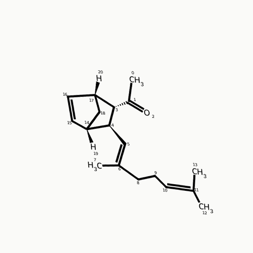 CC(=O)[C@@H]1[C@@H](/C=C(\C)CCC=C(C)C)[C@@H]2C=C[C@H]1C2